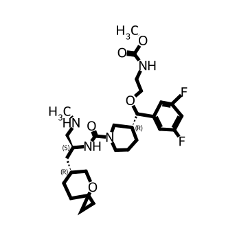 CNC[C@H](C[C@H]1CCC2(CC2)OC1)NC(=O)N1CCC[C@@H](C(OCCNC(=O)OC)c2cc(F)cc(F)c2)C1